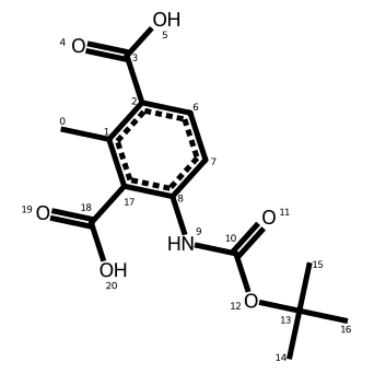 Cc1c(C(=O)O)ccc(NC(=O)OC(C)(C)C)c1C(=O)O